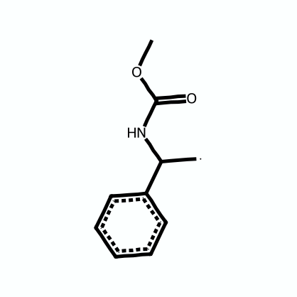 [CH2]C(NC(=O)OC)c1ccccc1